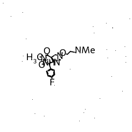 CNCCCON1C=NC2=C(C1)C(=O)N(C)[NH+]([O-])C2c1ccc(F)cc1